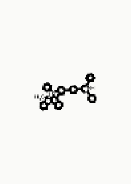 CC1(C)c2ccccc2-c2c1c1c(c3ccccc23)c2cc(-c3ccc(C4=CC(c5ccccc5)NC(c5ccccc5)=C4)cc3)ccc2n1-c1ccccc1